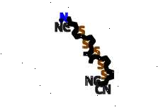 C/N=C\C(C#N)=C\c1ccc(-c2ccc(-c3sc(-c4ccc(-c5ccc(C=C(C#N)C#N)s5)s4)c(C)c3C)s2)s1